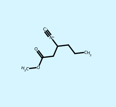 [C-]#[N+]C(CCC)CC(=O)OC